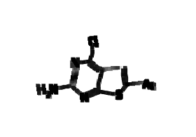 CC(=O)c1cc2c(Cl)nc(N)nc2s1